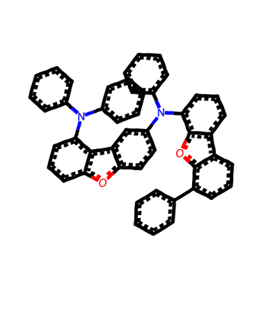 c1ccc(-c2cccc3c2oc2c(N(c4ccccc4)c4ccc5oc6cccc(N(c7ccccc7)c7ccccc7)c6c5c4)cccc23)cc1